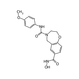 COc1ccc(NC(=O)N2CCOc3ccc(C(=O)NO)cc3C2)cc1